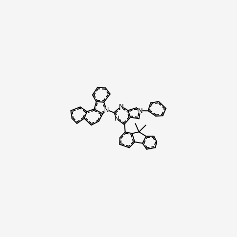 CC1(C)c2ccccc2-c2cccc(-c3nc(-n4c5ccccc5c5c6ccccc6ccc54)nc4cn(-c5ccccc5)cc34)c21